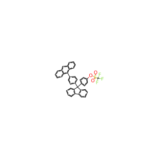 O=S(=O)(Oc1ccc(C2(c3ccc(-c4c5ccccc5cc5ccccc45)cc3)c3ccccc3-c3ccccc32)cc1)C(F)(F)F